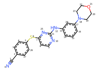 N#Cc1ccc(Sc2ccnc(Nc3cccc(N4CCOCC4)c3)n2)cc1